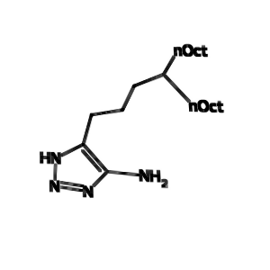 CCCCCCCCC(CCCCCCCC)CCCc1[nH]nnc1N